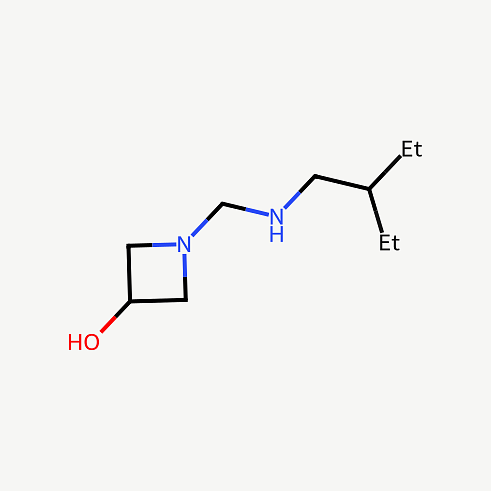 CCC(CC)CNCN1CC(O)C1